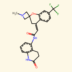 CN1CC2(C/C(=C\C(=O)Nc3cccc4c3CCC(=O)N4)c3ccc(C(F)(F)F)cc3O2)C1